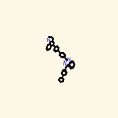 c1ccc(-c2ccc(-c3nc(-c4ccc(-c5ccc(-c6cc7cccnc7c7ccccc67)cc5)cc4)nc4ccccc34)cc2)cc1